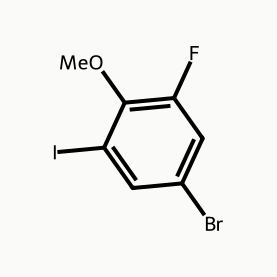 COc1c(F)cc(Br)cc1I